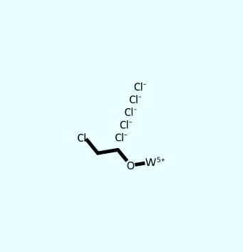 ClCC[O][W+5].[Cl-].[Cl-].[Cl-].[Cl-].[Cl-]